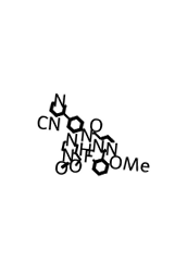 COc1cccc(F)c1-c1nccc(C(=O)Nc2ccc(-c3cnccc3C#N)cc2N2CCN3C(=O)OCC3C2)n1